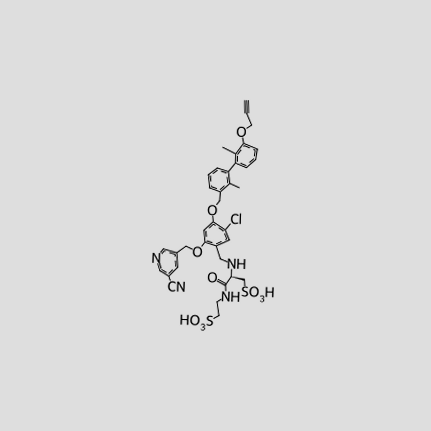 C#CCOc1cccc(-c2cccc(COc3cc(OCc4cncc(C#N)c4)c(CN[C@@H](CS(=O)(=O)O)C(=O)NCCS(=O)(=O)O)cc3Cl)c2C)c1C